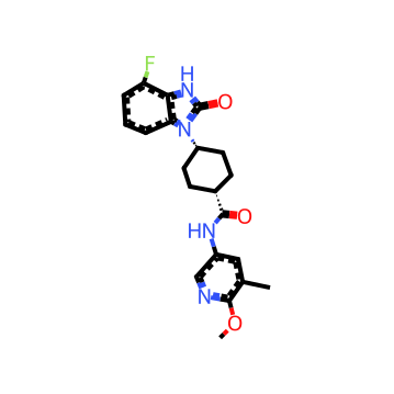 COc1ncc(NC(=O)[C@H]2CC[C@@H](n3c(=O)[nH]c4c(F)cccc43)CC2)cc1C